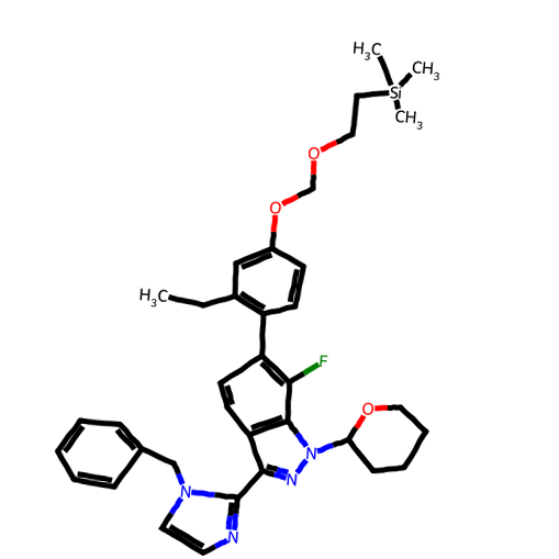 CCc1cc(OCOCC[Si](C)(C)C)ccc1-c1ccc2c(-c3nccn3Cc3ccccc3)nn(C3CCCCO3)c2c1F